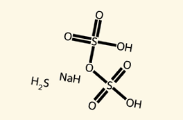 O=S(=O)(O)OS(=O)(=O)O.S.[NaH]